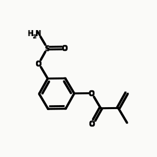 C=C(C)C(=O)Oc1cccc(OS(N)=O)c1